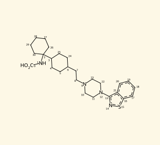 O=C(O)NC1(C2CCC(CCN3CCN(c4nsc5ccccc45)CC3)CC2)CCCCC1